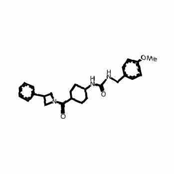 COc1ccc(CNC(=O)NC2CCC(C(=O)N3CC(c4ccccc4)C3)CC2)cc1